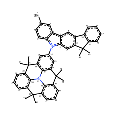 CC(C)(C)c1ccc2c(c1)c1cc3c(cc1n2-c1cc2c4c(c1)C(C)(C)c1cccc5c1N4c1c(cccc1C2(C)C)C5(C)C)C(C)(C)c1ccccc1-3